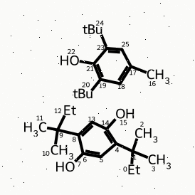 CCC(C)(C)c1cc(O)c(C(C)(C)CC)cc1O.Cc1cc(C(C)(C)C)c(O)c(C(C)(C)C)c1